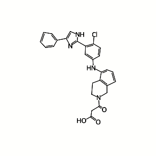 O=C(O)CC(=O)N1CCc2c(cccc2Nc2ccc(Cl)c(-c3nc(-c4ccccc4)c[nH]3)c2)C1